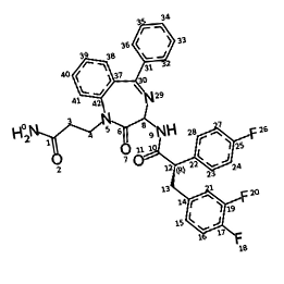 NC(=O)CCN1C(=O)C(NC(=O)[C@H](Cc2ccc(F)c(F)c2)c2ccc(F)cc2)N=C(c2ccccc2)c2ccccc21